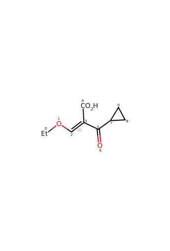 CCO/C=C(\C(=O)O)C(=O)C1CC1